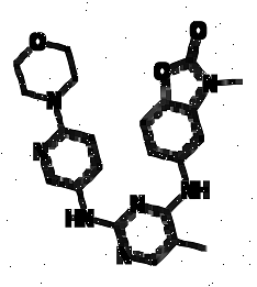 Cc1cnc(Nc2ccc(N3CCOCC3)nc2)nc1Nc1ccc2oc(=O)n(C)c2c1